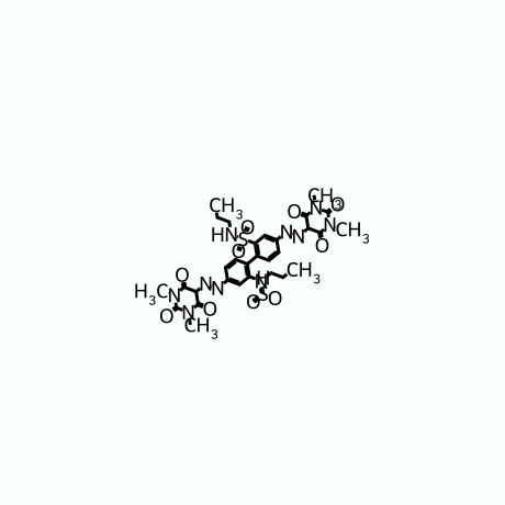 CCCNS(=O)(=O)c1cc(N=NC2C(=O)N(C)C(=O)N(C)C2=O)ccc1-c1ccc(N=NC2C(=O)N(C)C(=O)N(C)C2=O)cc1N(CCC)[SH](=O)=O